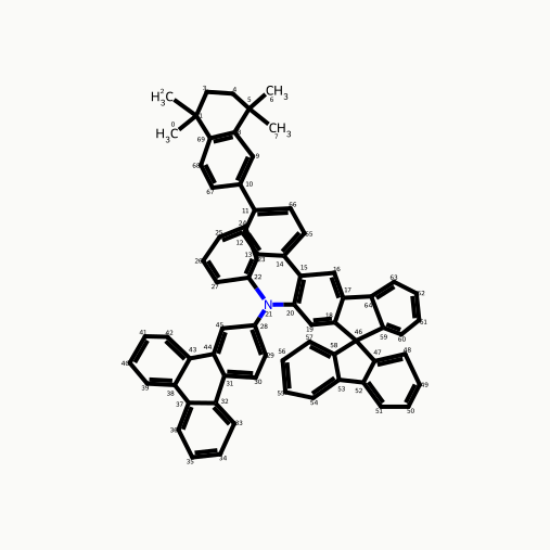 CC1(C)CCC(C)(C)c2cc(-c3ccc(-c4cc5c(cc4N(c4ccccc4)c4ccc6c7ccccc7c7ccccc7c6c4)C4(c6ccccc6-c6ccccc64)c4ccccc4-5)cc3)ccc21